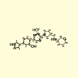 Cl.Oc1cc(-c2cn[nH]c2)ccc1-c1cnc(N2CCC(CNC3CCCOC3)C2)nn1